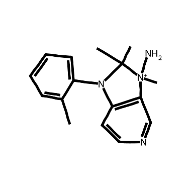 Cc1ccccc1N1c2ccncc2[N+](C)(N)C1(C)C